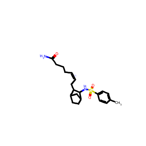 Cc1ccc(S(=O)(=O)NC2C3CCC(C3)C2C/C=C\CCCC(N)=O)cc1